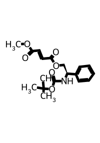 COC(=O)/C=C/C(=O)OC[C@H](NC(=O)OC(C)(C)C)c1ccccc1